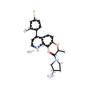 CC(Oc1ccc2c(-c3ccc(F)cc3Cl)ccnc2c1)C(=O)N1CC[C@@H](N)C1.Cl